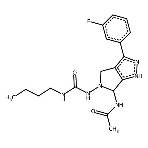 CCCCNC(=O)NN1Cc2c(-c3cccc(F)c3)n[nH]c2C1NC(C)=O